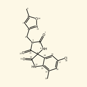 Cc1cc(CN2C(=O)NC3(C(=O)Nc4c(C)cc(Cl)cc43)C2=O)no1